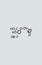 O=B[C@H]1C[C@H]1c1ccc(OC2CN(Cc3nc[nH]n3)C2)c(C(=O)O)c1O